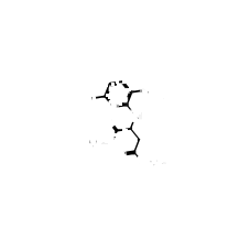 COC(=O)CC(Nc1nc(Cl)ccc1[N+](=O)[O-])C(=O)OC